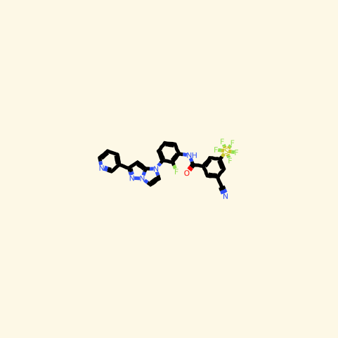 N#Cc1cc(C(=O)Nc2cccc(-n3ccn4nc(-c5cccnc5)cc34)c2F)cc(S(F)(F)(F)(F)F)c1